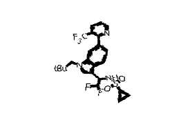 CC(C)(C)Cn1cc(C(NS(=O)(=O)C2CC2)C(F)F)c2ccc(-c3ncccc3C(F)(F)F)cc21